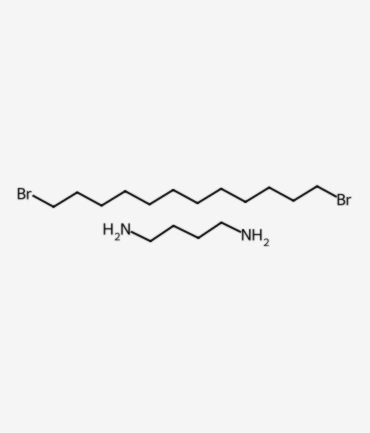 BrCCCCCCCCCCCCBr.NCCCCN